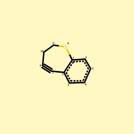 C1#Cc2ccccc2SCC1